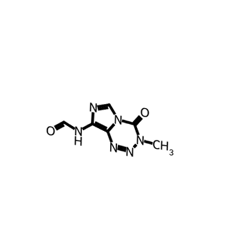 Cn1nnc2c(NC=O)ncn2c1=O